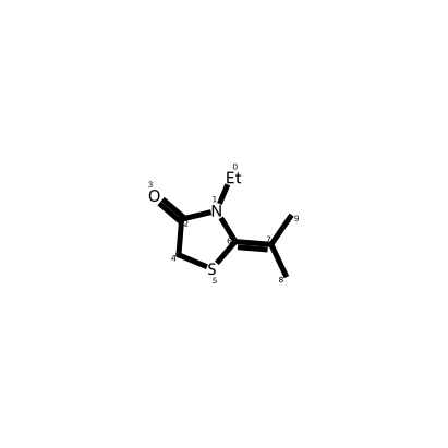 CCN1C(=O)CSC1=C(C)C